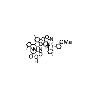 COc1cccc(C(c2cccc(C)c2)C2CN(C)C(=O)c3c(Oc4cc(C)cc(C(c5cccc(C)c5)C5CN(C)C(=O)c6c(O)c(=O)cnn65)c4)c(=O)cnn32)c1